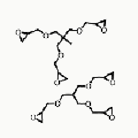 C(OCC1CO1)C(COCC1CO1)COCC1CO1.CC(COCC1CO1)(COCC1CO1)COCC1CO1